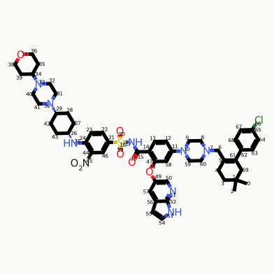 CC1(C)CCC(CN2CCN(c3ccc(C(=O)NS(=O)(=O)c4ccc(N[C@H]5CC[C@H](N6CCN(C7CCOCC7)CC6)CC5)c([N+](=O)[O-])c4)c(Oc4cnc5[nH]ccc5c4)c3)CC2)=C(c2ccc(Cl)cc2)C1